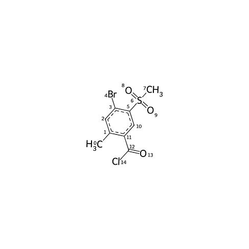 Cc1cc(Br)c(S(C)(=O)=O)cc1C(=O)Cl